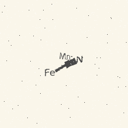 N#[C][Fe].[Mn]